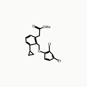 CCc1ccc(OCc2c(CC(=O)OC)cccc2C2CC2)c(Cl)c1